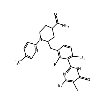 CCc1nc(-c2c(C(F)(F)F)ccc(CC3CC(C(N)=O)CCN3c3ccc(C(F)(F)F)cn3)c2F)[nH]c(=O)c1F